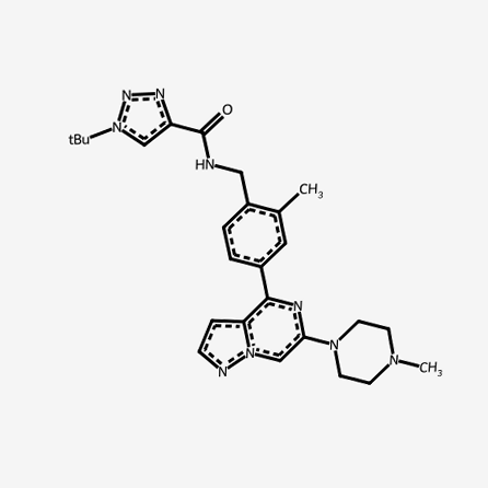 Cc1cc(-c2nc(N3CCN(C)CC3)cn3nccc23)ccc1CNC(=O)c1cn(C(C)(C)C)nn1